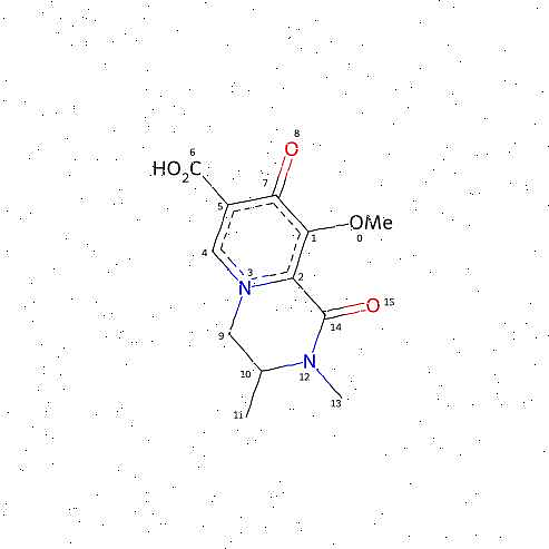 COc1c2n(cc(C(=O)O)c1=O)CC(C)N(C)C2=O